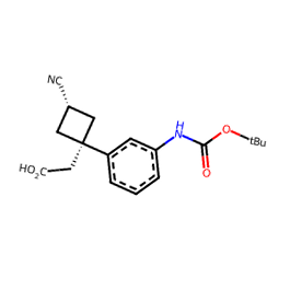 CC(C)(C)OC(=O)Nc1cccc([C@]2(CC(=O)O)C[C@@H](C#N)C2)c1